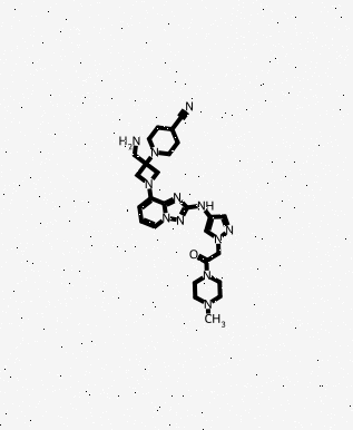 CN1CCN(C(=O)Cn2cc(Nc3nc4c(N5CC(CN)(N6CCC(C#N)CC6)C5)cccn4n3)cn2)CC1